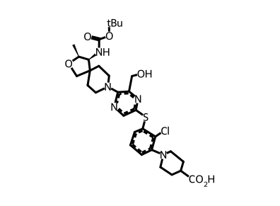 C[C@@H]1OCC2(CCN(c3ncc(Sc4cccc(N5CCC(C(=O)O)CC5)c4Cl)nc3CO)CC2)[C@@H]1NC(=O)OC(C)(C)C